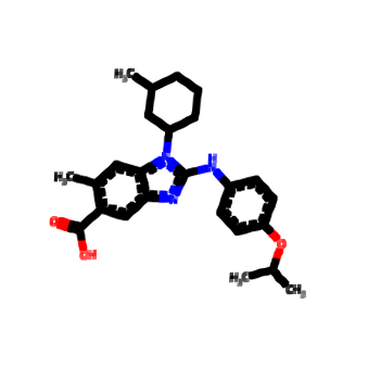 Cc1cc2c(cc1C(=O)O)nc(Nc1ccc(OC(C)C)cc1)n2C1CCCC(C)C1